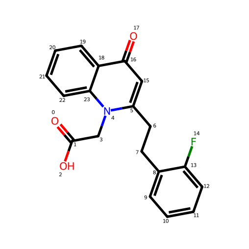 O=C(O)Cn1c(CCc2ccccc2F)cc(=O)c2ccccc21